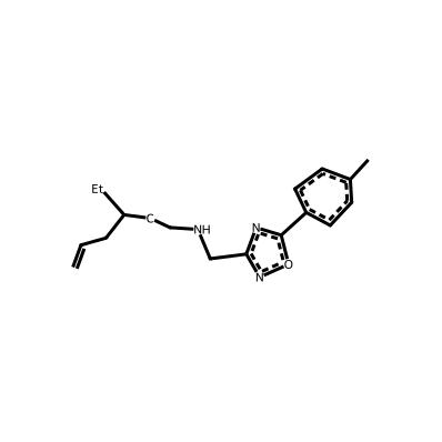 C=CCC(CC)CCNCc1noc(-c2ccc(C)cc2)n1